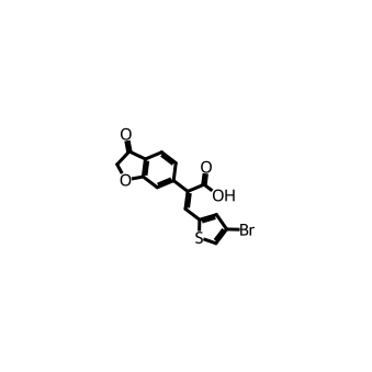 O=C(O)C(=Cc1cc(Br)cs1)c1ccc2c(c1)OCC2=O